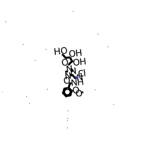 COOc1ccccc1C(=O)N/C(=N/Cl)c1ncn(C2OC(CO)C(O)C2O)n1